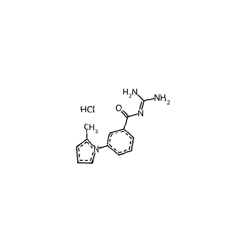 Cc1cccn1-c1cccc(C(=O)N=C(N)N)c1.Cl